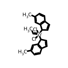 C[CH]=[Zr]([Cl])([Cl])([CH]1C=Cc2ccc(C)cc21)[CH]1C=Cc2ccc(C)cc21